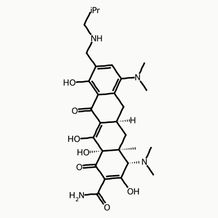 CC(C)CNCc1cc(N(C)C)c2c(c1O)C(=O)C1=C(O)[C@]3(O)C(=O)C(C(N)=O)=C(O)[C@@H](N(C)C)[C@]3(C)C[C@@H]1C2